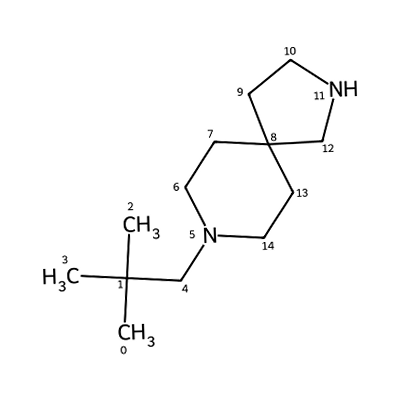 CC(C)(C)CN1CCC2(CCNC2)CC1